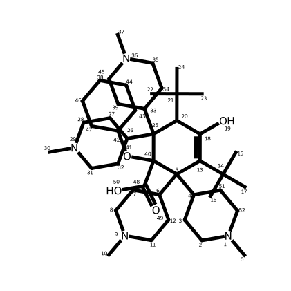 CN1CCC(C2(C3CCN(C)CC3)C(C(C)(C)C)=C(O)C(C(C)(C)C)C(C3CCN(C)CC3)(C3CCN(C)CC3)C2(OC2CCCCC2)C(=O)O)CC1